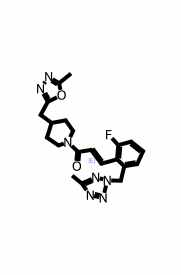 Cc1nnn(Cc2cccc(F)c2/C=C/C(=O)N2CCC(Cc3nnc(C)o3)CC2)n1